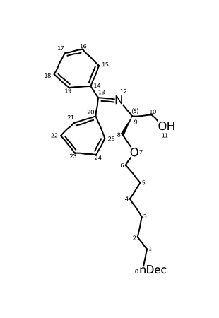 CCCCCCCCCCCCCCCCOC[C@H](CO)N=C(c1ccccc1)c1ccccc1